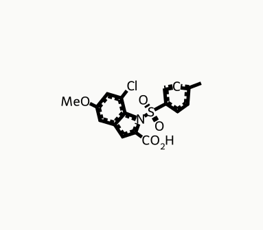 COc1cc(Cl)c2c(c1)cc(C(=O)O)n2S(=O)(=O)c1ccc(C)cc1